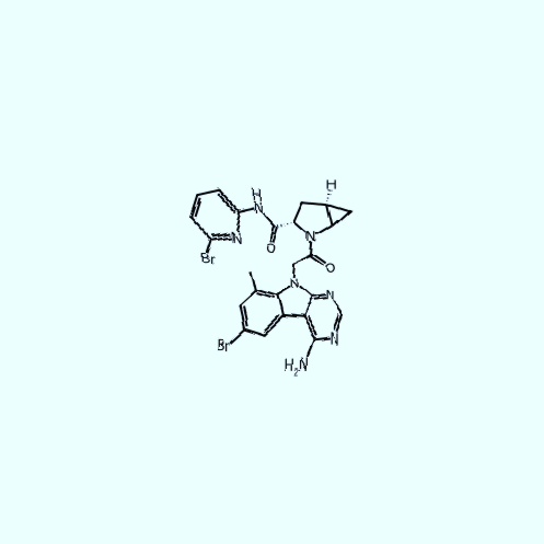 Cc1cc(Br)cc2c3c(N)ncnc3n(CC(=O)N3C4C[C@@H]4C[C@H]3C(=O)Nc3cccc(Br)n3)c12